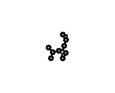 c1ccc(-c2cc(-c3ccccc3)cc(-c3ccc(N(c4ccc(-c5ccc6sc7ccccc7c6c5)cc4)c4cccc5c4sc4ccccc45)cc3)c2)cc1